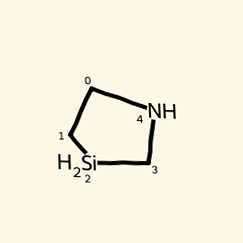 C1C[SiH2]CN1